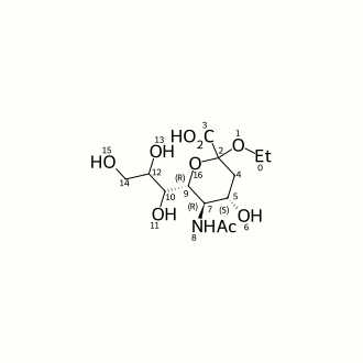 CCOC1(C(=O)O)C[C@H](O)[C@@H](NC(C)=O)[C@H](C(O)C(O)CO)O1